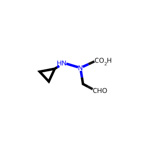 O=CCN(NC1CC1)C(=O)O